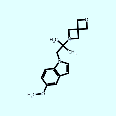 COc1ccc2c(ccn2CC(C)(C)N2CC3(COC3)C2)c1